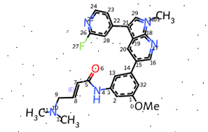 COc1cc(NC(=O)/C=C/CN(C)C)cc(-c2cnc3c(c2)c(-c2ccnc(F)c2)cn3C)c1